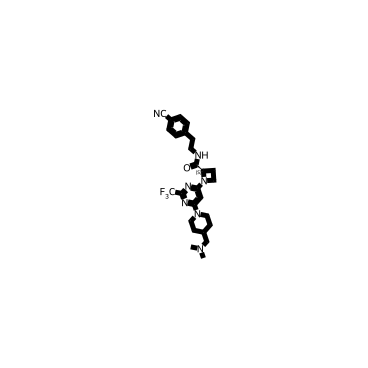 CN(C)CC1CCN(c2cc(N3CC[C@H]3C(=O)NCCc3ccc(C#N)cc3)nc(C(F)(F)F)n2)CC1